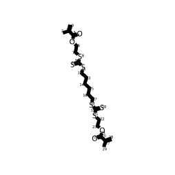 C=C(C)C(=O)OCCSC(=S)SCCCCCCSC(=S)SCCOC(=O)C(=C)C